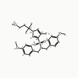 COc1ccc(CN(Cc2ccc(OC)cc2)S(=O)(=O)c2nn(C(C)(C)CCO)cc2F)cc1